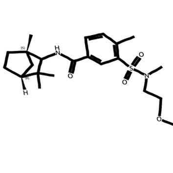 COCCN(C)S(=O)(=O)c1cc(C(=O)NC2C(C)(C)[C@@H]3CC[C@@]2(C)C3)ccc1C